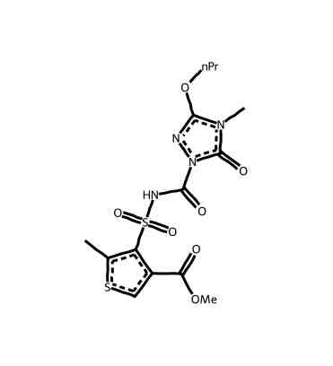 CCCOc1nn(C(=O)NS(=O)(=O)c2c(C(=O)OC)csc2C)c(=O)n1C